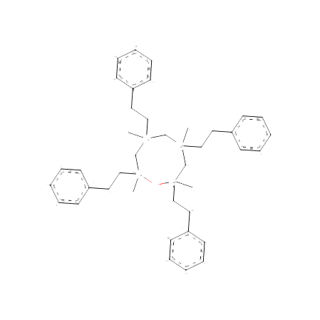 C[Si]1(CCc2ccccc2)C[Si](C)(CCc2ccccc2)C[Si](C)(CCc2ccccc2)O[Si](C)(CCc2ccccc2)C1